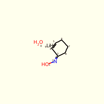 O.ON=C1C=CCCC1.[LiH]